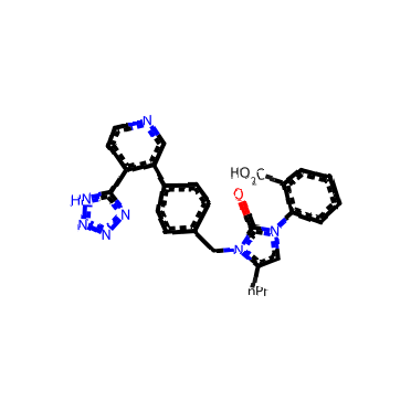 CCCc1cn(-c2ccccc2C(=O)O)c(=O)n1Cc1ccc(-c2cnccc2-c2nnn[nH]2)cc1